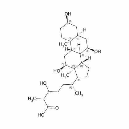 CC(C(=O)O)C(O)CC[C@@H](C)[C@H]1CC[C@H]2[C@@H]3[C@H](O)C[C@@H]4C[C@H](O)CC[C@]4(C)[C@H]3C[C@H](O)[C@]12C